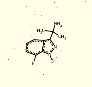 Cn1nc(C(C)(C)N)c2cccc(F)c21